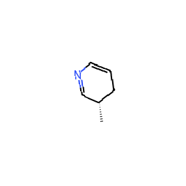 C[C@@H]1C=NC=CC1